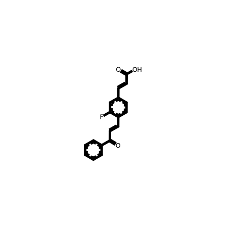 O=C(O)/C=C/c1ccc(/C=C/C(=O)c2ccccc2)c(F)c1